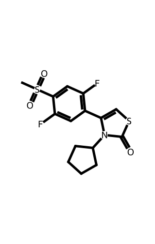 CS(=O)(=O)c1cc(F)c(-c2csc(=O)n2C2CCCC2)cc1F